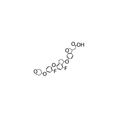 O=C(O)CC1COc2cc(O[C@@H]3CCc4c(Oc5ccc(OC6CCOCC6)cc5F)ccc(F)c43)ccc21